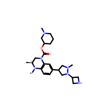 CC(=O)N1c2ccc(C3CN(C)N(C4CNC4)C3)cc2N(C(=O)OC2CCCN(C)C2)C[C@@H]1C